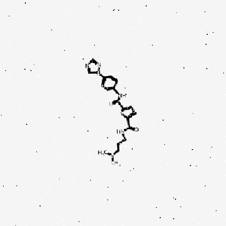 CN(C)CCCNC(=O)c1ccc(C(=O)Nc2ccc(-n3cncn3)cc2)s1